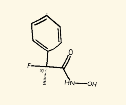 C[C@@](F)(C(=O)NO)c1cc[c]cc1